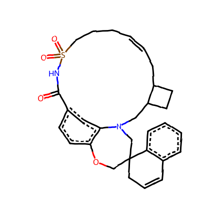 O=C1NS(=O)(=O)CCCC=CCC2CCC2CN2CC3(CC=Cc4ccccc43)COc3ccc1cc32